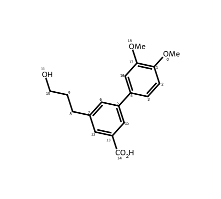 COc1ccc(-c2cc(CCCO)cc(C(=O)O)c2)cc1OC